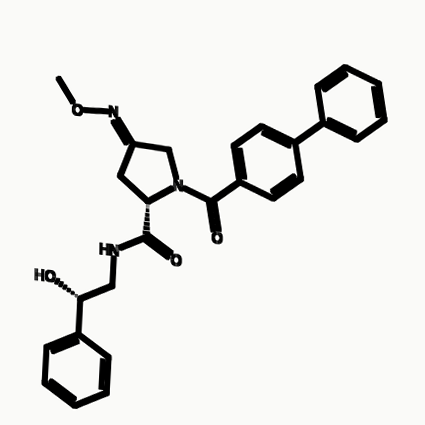 CO/N=C1\C[C@@H](C(=O)NC[C@@H](O)c2ccccc2)N(C(=O)c2ccc(-c3ccccc3)cc2)C1